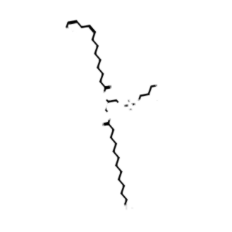 CCCC/C=C\C/C=C\CCCCCCCC(=O)O[C@H](COC(=O)CCCCCCCCCCCCCCCCCCCCC)COP(=O)(O)OC[C@@H](O)CO